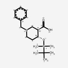 CC(C)(C)[Si](C)(C)O[C@@H]1CCN(Cc2ccccc2)C[C@H]1C(=O)O